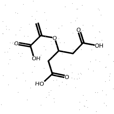 C=C(OC(CC(=O)O)CC(=O)O)C(=O)O